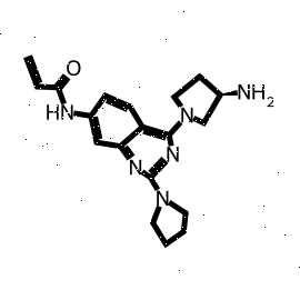 C=CC(=O)Nc1ccc2c(N3CC[C@@H](N)C3)nc(N3CCCC3)nc2c1